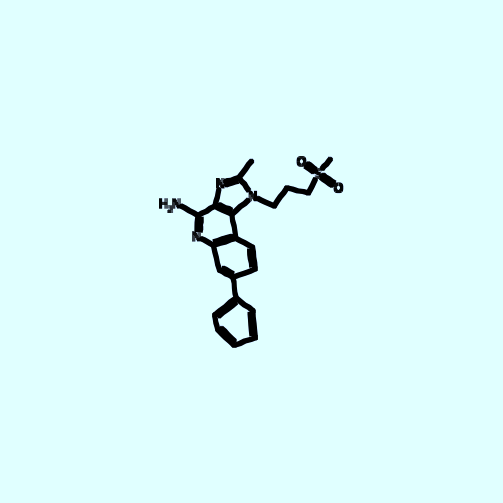 Cc1nc2c(N)nc3cc(-c4ccccc4)ccc3c2n1CCCS(C)(=O)=O